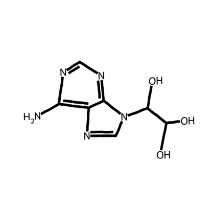 Nc1ncnc2c1ncn2C(O)C(O)O